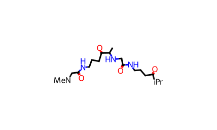 CNCC(=O)NCCCC(=O)C(C)NCC(=O)NCCCC(=O)C(C)C